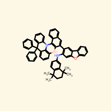 CC1(C)CCC(C)(C)c2cc(Nc3cc4oc5ccccc5c4cc3-c3cc4ccccc4c4c3Bc3cccc5c3N4c3ccccc3C5(c3ccccc3)c3ccccc3)ccc21